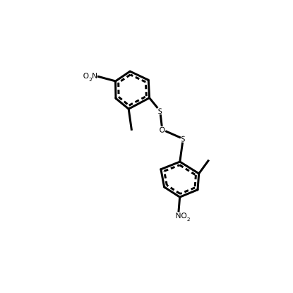 Cc1cc([N+](=O)[O-])ccc1SOSc1ccc([N+](=O)[O-])cc1C